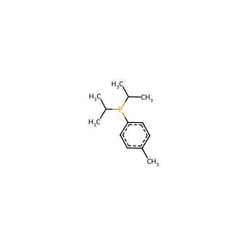 Cc1ccc(P(C(C)C)C(C)C)cc1